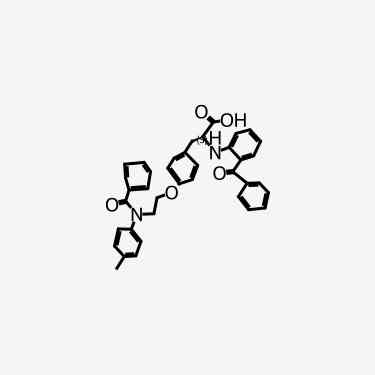 Cc1ccc(N(CCOc2ccc(C[C@H](Nc3ccccc3C(=O)c3ccccc3)C(=O)O)cc2)C(=O)c2ccccc2)cc1